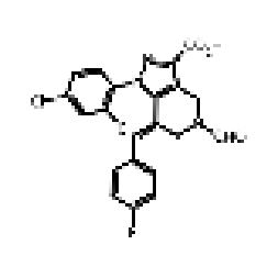 O=CN1CC(=Cc2ccc(F)cc2)c2c(c(C(=O)O)nn2-c2ccc(Cl)cc2Cl)C1